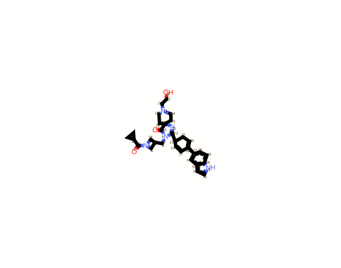 O=C(C1CC1)N1CC(CN2C(=O)C3(CCN(CCO)CC3)N=C2C2C=CC(c3ccc4[nH]ccc4c3)=CC2)C1